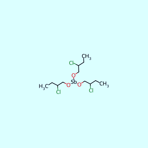 CCC(Cl)C[O][Sb]([O]CC(Cl)CC)[O]CC(Cl)CC